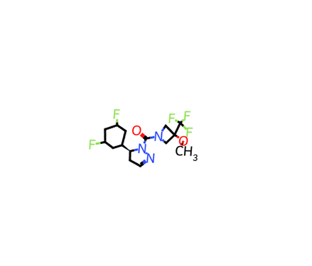 COC1(C(F)(F)F)CN(C(=O)N2N=CC[C@H]2C2CC(F)CC(F)C2)C1